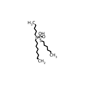 C=CCCCCCCN(CCCCC)P(=O)(O)SCCCCCC